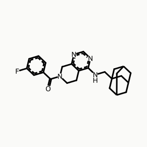 O=C(c1cccc(F)c1)N1CCc2c(ncnc2NCC23CC4CC(CC(C4)C2)C3)C1